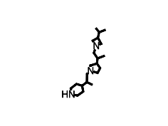 CC(C)C1CN(CC(C)C2CCN(CC(C)C3CCNCC3)C2)C1